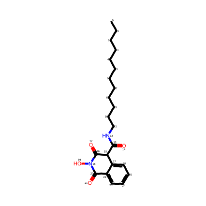 CCCCCCCCCCCCNC(=O)C1C(=O)N(O)C(=O)c2ccccc21